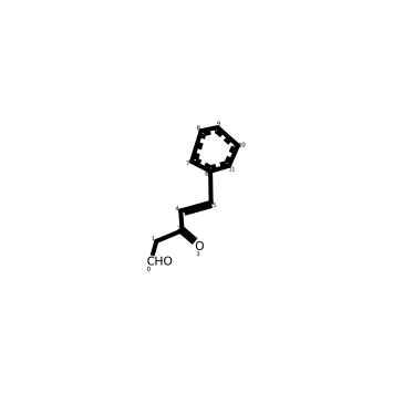 O=C[CH]C(=O)C=Cc1ccccc1